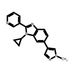 Cn1cc(-c2ccc3nc(-c4cccnc4)n(C4CC4)c3c2)cn1